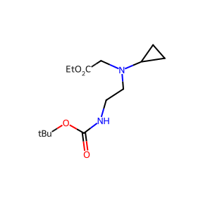 CCOC(=O)CN(CCNC(=O)OC(C)(C)C)C1CC1